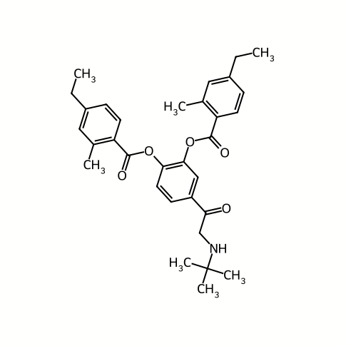 CCc1ccc(C(=O)Oc2ccc(C(=O)CNC(C)(C)C)cc2OC(=O)c2ccc(CC)cc2C)c(C)c1